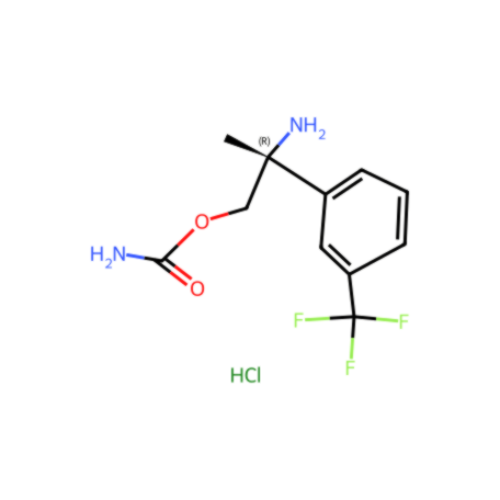 C[C@](N)(COC(N)=O)c1cccc(C(F)(F)F)c1.Cl